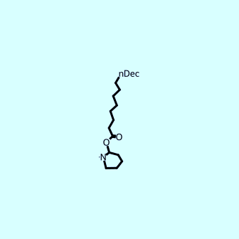 CCCCCCCCCCCCCCCCCC(=O)OC1CCCC[N]1